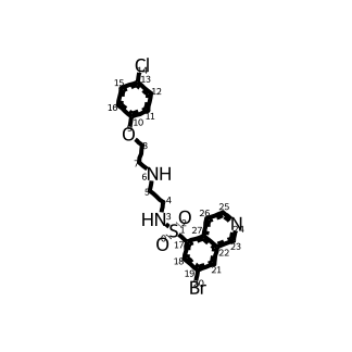 O=S(=O)(NCCNCCOc1ccc(Cl)cc1)c1cc(Br)cc2cnccc12